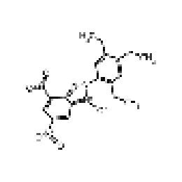 CCc1cc(CC)c(-n2nc3c([N+](=O)[O-])cc([N+](=O)[O-])cc3[n+]2[O-])cc1CC